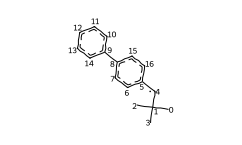 CC(C)(C)[CH]c1ccc(-c2ccccc2)cc1